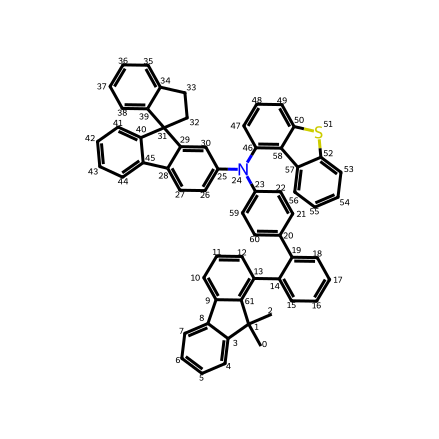 CC1(C)c2ccccc2-c2cccc(-c3ccccc3-c3ccc(N(c4ccc5c(c4)C4(CCc6ccccc64)c4ccccc4-5)c4cccc5sc6ccccc6c45)cc3)c21